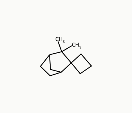 CC1(C)C2CCC(C2)C12CCC2